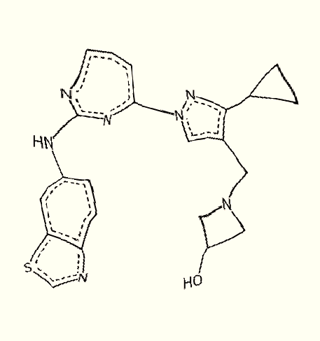 OC1CN(Cc2cn(-c3ccnc(Nc4ccc5ncsc5c4)n3)nc2C2CC2)C1